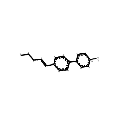 CCCC=Cc1ccc(-c2ccc(Cl)cc2)cc1